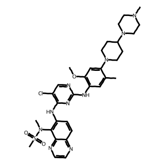 COc1cc(N2CCC(N3CCN(C)CC3)CC2)c(C)cc1Nc1ncc(Cl)c(Nc2ccc3nccnc3c2N(C)S(C)(=O)=O)n1